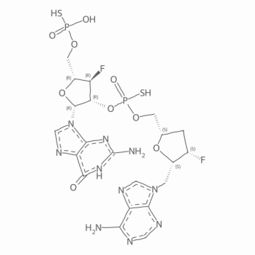 Nc1nc2c(ncn2[C@@H]2O[C@H](COP(=O)(O)S)[C@@H](F)[C@@H]2OP(=O)(S)OC[C@@H]2C[C@H](F)[C@H](Cn3cnc4c(N)ncnc43)O2)c(=O)[nH]1